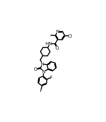 Cc1ncc(Cl)cc1C(=O)NC1CCC(Cn2c(=O)n(-c3ccc(F)cc3F)c3ccccc32)CC1